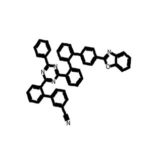 N#Cc1cccc(-c2ccccc2-c2nc(-c3ccccc3)nc(-c3ccccc3-c3ccccc3-c3ccc(-c4nc5ccccc5o4)cc3)n2)c1